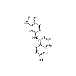 Clc1ccc2c(Nc3ccc4c(c3)OCO4)ccnc2c1